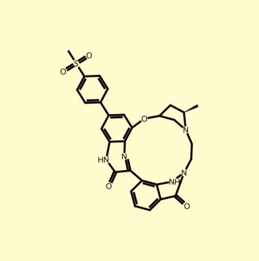 C[C@@H]1CC2CN1CCn1[nH]c3c(cccc3c1=O)-c1nc3c(cc(-c4ccc(S(C)(=O)=O)cc4)cc3[nH]c1=O)O2